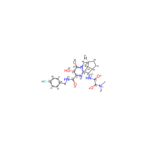 CN(C)C(=O)C(=O)N[C@H]1c2nc(C(=O)NCc3ccc(F)cc3)c(O)c(=O)n2C[C@H]2CC[C@]1(C)C2(C)C